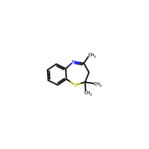 CC1=Nc2ccccc2SC(C)(C)C1